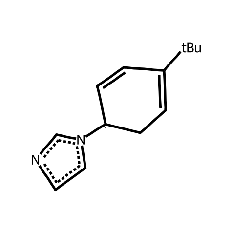 CC(C)(C)C1=CC[C](n2ccnc2)C=C1